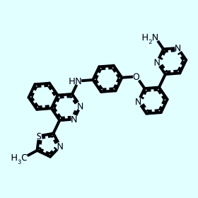 Cc1cnc(-c2nnc(Nc3ccc(Oc4ncccc4-c4ccnc(N)n4)cc3)c3ccccc23)s1